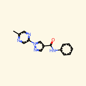 Cc1cnc(-n2cc(C(=O)Nc3ccccc3)cn2)cn1